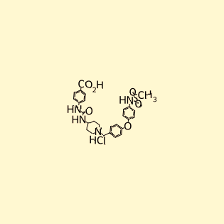 CS(=O)(=O)Nc1ccc(Oc2ccc(CN3CCC(NC(=O)Nc4ccc(C(=O)O)cc4)CC3)cc2)cc1.Cl